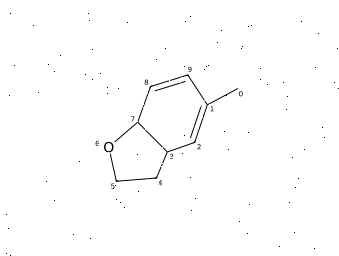 CC1=CC2CCOC2C=C1